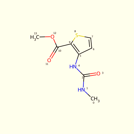 CNC(=O)Nc1ccsc1C(=O)OC